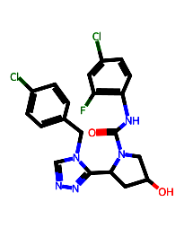 O=C(Nc1ccc(Cl)cc1F)N1CC(O)CC1c1nncn1Cc1ccc(Cl)cc1